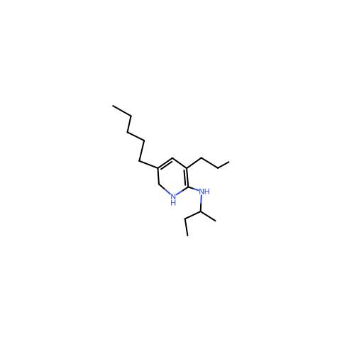 CCCCCC1=CC(CCC)=C(NC(C)CC)NC1